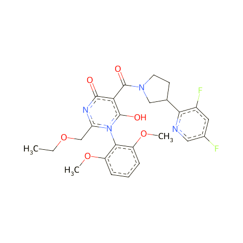 CCOCc1nc(=O)c(C(=O)N2CCC(c3ncc(F)cc3F)C2)c(O)n1-c1c(OC)cccc1OC